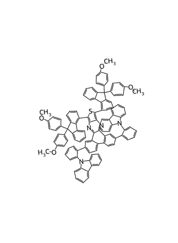 COc1ccc(C2(c3ccc(OC)cc3)c3ccccc3-c3c(-c4sc(-c5cccc6c5-c5ccccc5C6(c5ccc(OC)cc5)c5ccc(OC)cc5)c5nc6c7cc(-c8ccccc8-n8c9ccccc9c9ccccc98)ccc7c7ccc(-c8ccccc8-n8c9ccccc9c9ccccc98)cc7c6nc45)cccc32)cc1